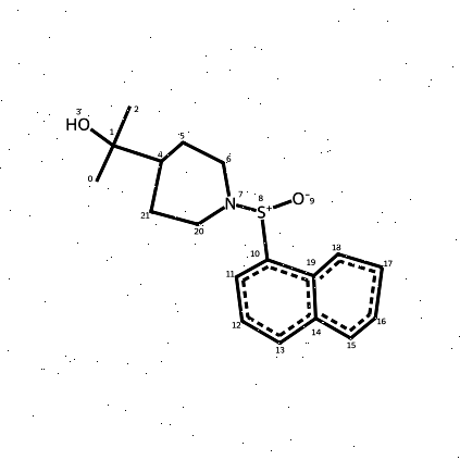 CC(C)(O)C1CCN([S+]([O-])c2cccc3ccccc23)CC1